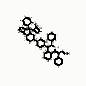 N=C/C(C1=CC=CCC1)=C1\NC(C2=CC=CCC2)C(c2ccc(C3C=CC4=C(C3)C3(c5ccccc5OC5C=CC=CC53)c3ccccc34)cc2)c2ccccc21